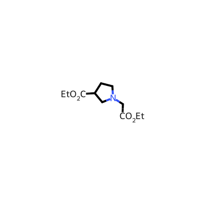 CCOC(=O)CN1CCC(C(=O)OCC)C1